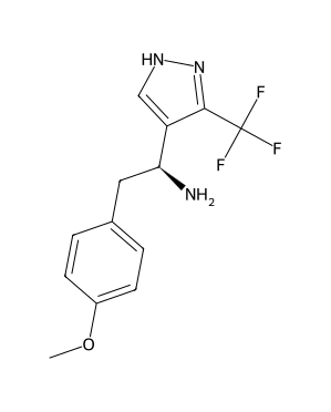 COc1ccc(C[C@H](N)c2c[nH]nc2C(F)(F)F)cc1